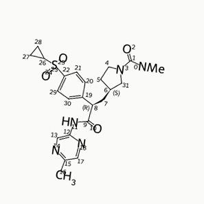 CNC(=O)N1CC[C@H](C[C@@H](C(=O)Nc2cnc(C)cn2)c2ccc(S(=O)(=O)C3CC3)cc2)C1